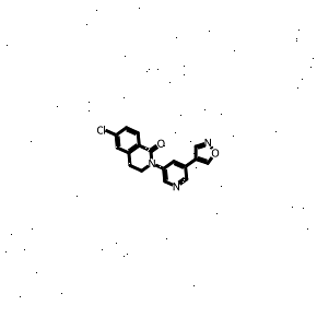 O=C1c2ccc(Cl)cc2CCN1c1cncc(-c2cnoc2)c1